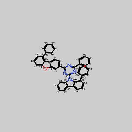 c1ccc(-c2nc(-c3ccc4c(c3)oc3cccc(-c5ccccc5)c34)nc(-n3c4ccccc4c4cccc(-c5ccccc5)c43)n2)cc1